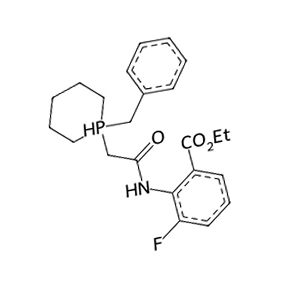 CCOC(=O)c1cccc(F)c1NC(=O)C[PH]1(Cc2ccccc2)CCCCC1